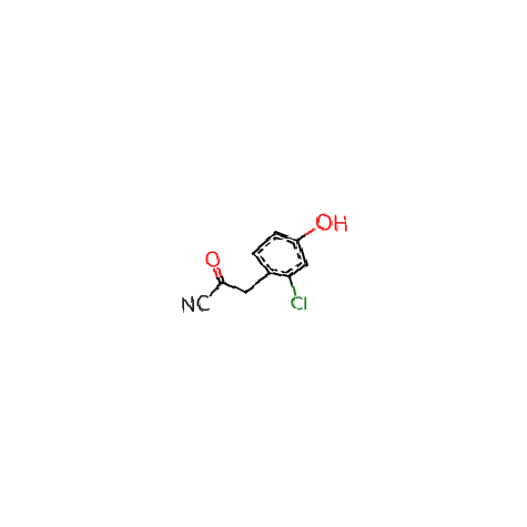 N#CC(=O)Cc1ccc(O)cc1Cl